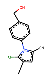 Cc1cc(C#N)n(-c2ccc(CO)cc2)c1Cl